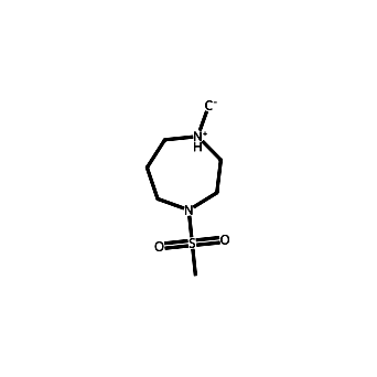 [CH2-][NH+]1CCCN(S(C)(=O)=O)CC1